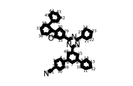 N#Cc1ccc(-c2cc(-c3ccccc3)cc(-c3nc(-c4ccccc4)nc(-c4ccc5c(c4)oc4cccc(-c6ccccc6)c45)n3)c2)cc1